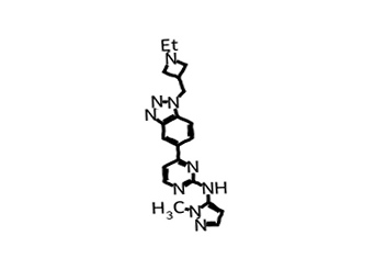 CCN1CC(Cn2nnc3cc(-c4ccnc(Nc5ccnn5C)n4)ccc32)C1